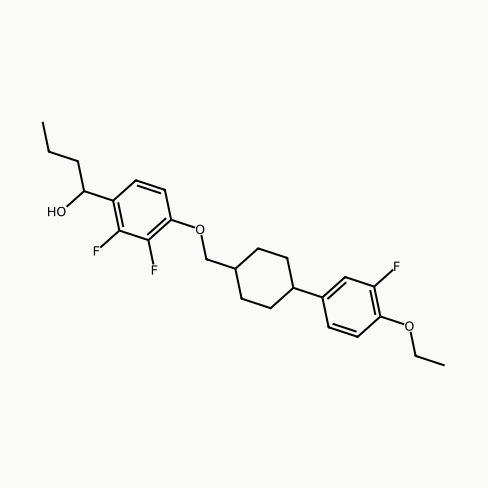 CCCC(O)c1ccc(OCC2CCC(c3ccc(OCC)c(F)c3)CC2)c(F)c1F